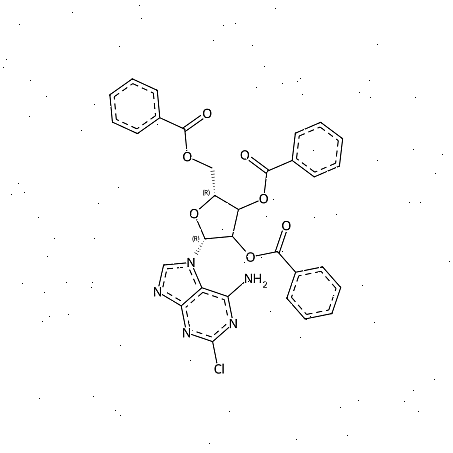 Nc1nc(Cl)nc2ncn([C@@H]3O[C@H](COC(=O)c4ccccc4)C(OC(=O)c4ccccc4)C3OC(=O)c3ccccc3)c12